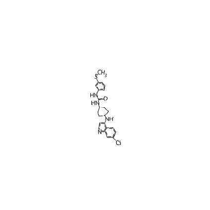 CSc1cccc(NC(=O)NC2CCC(Nc3ccnc4cc(Cl)ccc34)CC2)c1